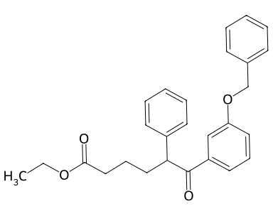 CCOC(=O)CCCC(C(=O)c1cccc(OCc2ccccc2)c1)c1ccccc1